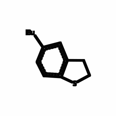 CCC(C)c1ccc2c(c1)CCS2